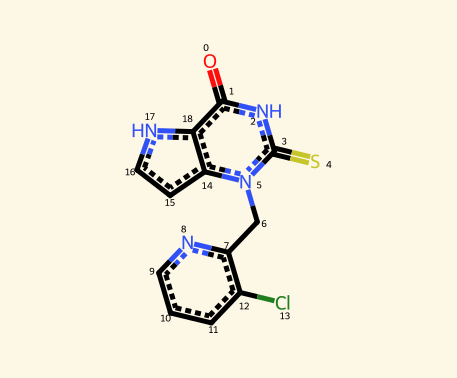 O=c1[nH]c(=S)n(Cc2ncccc2Cl)c2cc[nH]c12